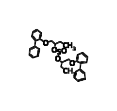 CCC(COc1ccccc1-c1ccccc1)OS(=O)OC(CC)COc1ccccc1-c1ccccc1